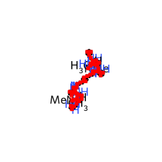 CN[C@@H](C)C(=O)N[C@@H]1C(=O)N2[C@@H](CC[C@@H]1CNCc1ccccc1)CC[C@H]2C(=O)N[C@@H](c1ccccc1)c1cn(CCCCc2ccc(CCCCn3cc([C@@H](NC(=O)[C@@H]4CC[C@@H]5CC[C@H](CNCc6ccccc6)[C@H](NC(=O)[C@H](C)NC)C(=O)N54)c4ccccc4)nn3)cc2)nn1